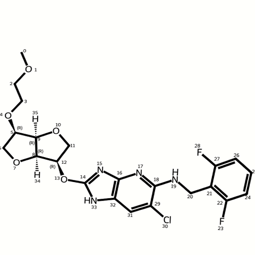 COCCO[C@@H]1CO[C@H]2[C@@H]1OC[C@H]2Oc1nc2nc(NCc3c(F)cccc3F)c(Cl)cc2[nH]1